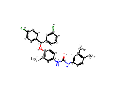 COc1ccc(NC(=O)Nc2ccc(OC(c3ccc(Cl)cc3)c3cccc(F)c3)c(C(=O)O)c2)cc1OC